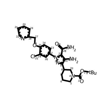 CC(C)(C)OC(=O)N1CCCC(c2nn(-c3ccc(OCc4ccccn4)c(Cl)c3)c(C(N)=O)c2N)C1